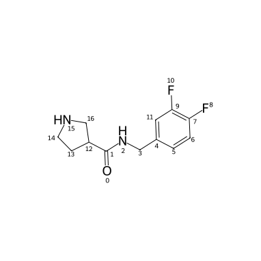 O=C(NCc1ccc(F)c(F)c1)C1CCNC1